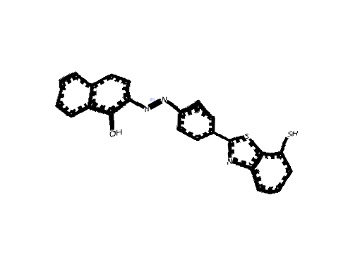 Oc1c(/N=N/c2ccc(-c3nc4cccc(S)c4s3)cc2)ccc2ccccc12